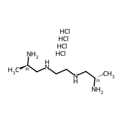 C[C@H](N)CNCCNC[C@@H](C)N.Cl.Cl.Cl.Cl